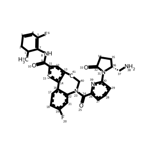 CC1CC=CC(F)=C1NC(=O)c1cc2c(s1)-c1ccc(F)cc1N(C(=O)c1cccc(N3C(=O)CC[C@@H]3CN)n1)CC2